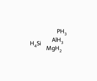 P.[AlH3].[MgH2].[SiH4]